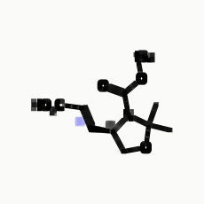 CC(C)(C)OC(=O)N1[C@H](/C=C/C(=O)O)COC1(C)C